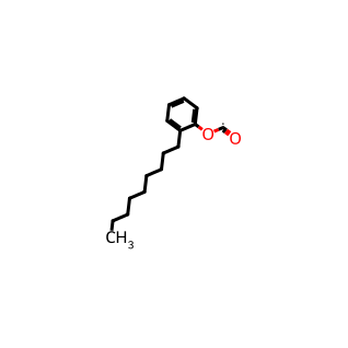 CCCCCCCCCc1ccccc1O[C]=O